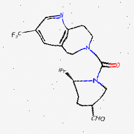 CC(C)[C@@H]1CC(C=O)CN1C(=O)N1CCc2ncc(C(F)(F)F)cc2C1